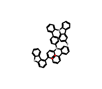 Fc1ccc2c(c1)c1ccccc1n2-c1ccccc1-c1ccc(N(c2ccc(-c3cccc4sc5ccccc5c34)cc2)c2ccccc2-c2ccccc2)cc1